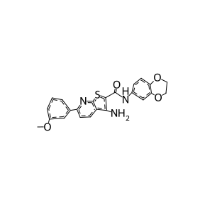 COc1cccc(-c2ccc3c(N)c(C(=O)Nc4ccc5c(c4)OCCO5)sc3n2)c1